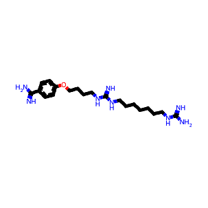 N=C(N)NCCCCCCCNC(=N)NCCCCOc1ccc(C(=N)N)cc1